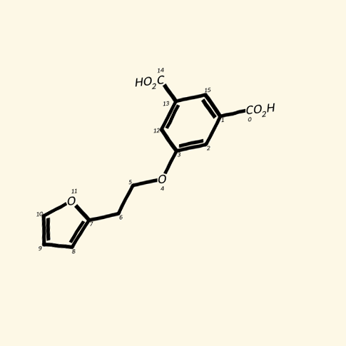 O=C(O)c1cc(OCCc2ccco2)cc(C(=O)O)c1